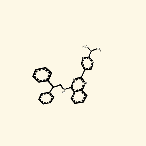 CN(C)c1ncc(-c2nc(NCC(c3ccccc3)c3ccccc3)c3ccccc3n2)cn1